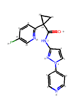 O=C(Nc1ccn(-c2ccncc2)n1)C1(c2ccc(F)cn2)CC1